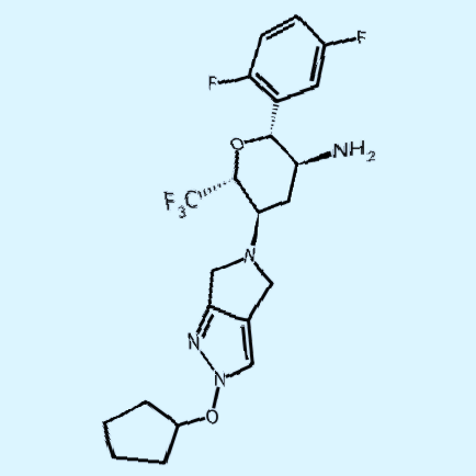 N[C@H]1C[C@@H](N2Cc3cn(OC4CCCC4)nc3C2)[C@H](C(F)(F)F)O[C@@H]1c1cc(F)ccc1F